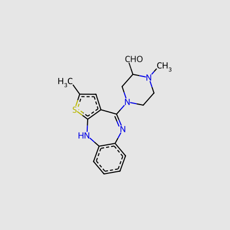 Cc1cc2c(s1)Nc1ccccc1N=C2N1CCN(C)C(C=O)C1